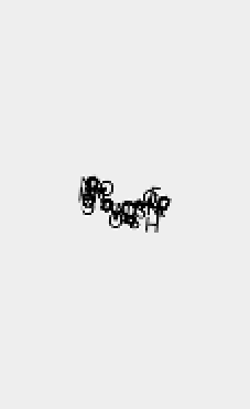 O=C(Nc1c(F)cccc1F)c1cc2c(s1)-c1sccc1N(C(=O)c1ccc(NC(=O)c3cccnc3N3CCOCC3)cc1)CC2